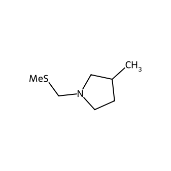 CSCN1CCC(C)C1